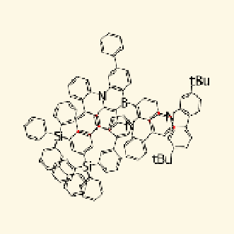 CC(C)(C)c1ccc2c3ccc(C(C)(C)C)cc3n(-c3ccc4c(c3)N(c3ccccc3-c3ccccc3)c3cc(-c5cc([Si](c6ccccc6)(c6ccccc6)c6cccc(-c7ccccc7)c6)cc([Si](c6ccccc6)(c6ccccc6)c6cccc(-c7ccccc7)c6)c5)cc5c3B4c3ccc(-c4ccccc4)cc3N5c3ccccc3-c3ccccc3)c2c1